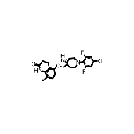 NC1(COc2ccc(F)c3c2CCC(=O)N3)CCN(c2c(F)cc(Cl)cc2F)CC1